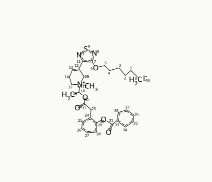 CCCCCCOc1nsnc1C1=CCC[N+](C)(C(C)OC(=O)Cc2ccccc2OC(=O)c2ccccc2)C1.[I-]